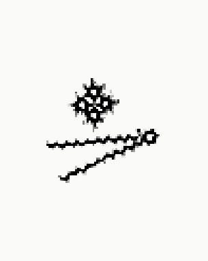 CCCCCCCCCCCCCCCCCC[NH+](C)C1(CCCCCCCCCCCCCCCCCC)C=CC=CC1.Fc1c(F)c(F)c([B-](c2c(F)c(F)c(F)c(F)c2F)(c2c(F)c(F)c(F)c(F)c2F)c2c(F)c(F)c(F)c(F)c2F)c(F)c1F